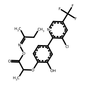 CCC(C)=NOC(=O)C(C)Oc1ccc(-c2ncc(C(F)(F)F)cc2Cl)cc1O